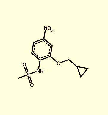 CS(=O)(=O)Nc1ccc([N+](=O)[O-])cc1OCC1CC1